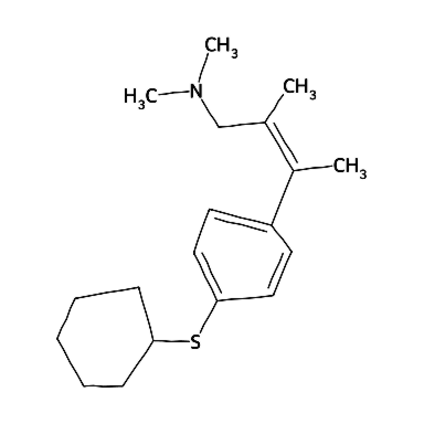 CC(CN(C)C)=C(C)c1ccc(SC2CCCCC2)cc1